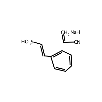 C=CC#N.O=S(=O)(O)C=Cc1ccccc1.[NaH]